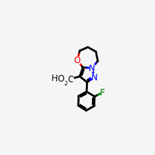 O=C(O)c1c(-c2ccccc2F)nn2c1OCCCC2